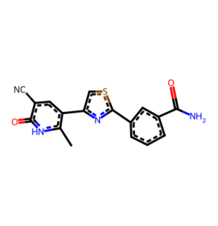 Cc1[nH]c(=O)c(C#N)cc1-c1csc(-c2cccc(C(N)=O)c2)n1